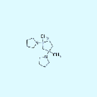 CC1(N2CCCC2)CCC(C)(N2CCCC2)C1